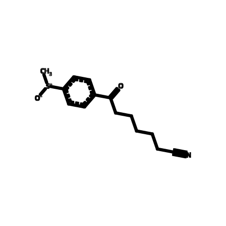 C[S+]([O-])c1ccc(C(=O)CCCCCC#N)cc1